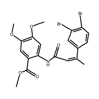 COC(=O)c1cc(OC)c(OC)cc1NC(=O)/C=C(/C)c1ccc(Br)c(Br)c1